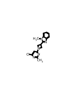 Cc1nc(Cl)cc(N2CC(c3nc4ccccc4n3C)C2)n1